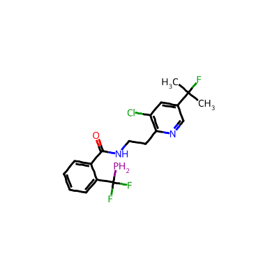 CC(C)(F)c1cnc(CCNC(=O)c2ccccc2C(F)(F)P)c(Cl)c1